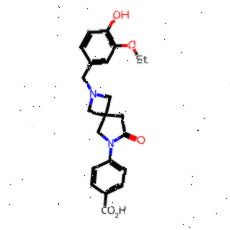 CCOc1cc(CN2CC3(CC(=O)N(c4ccc(C(=O)O)cc4)C3)C2)ccc1O